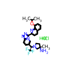 CC(C)Oc1cccc2ccc(-c3nnc4ccc([C@@H](N5CC[C@@](C)(N)C5)C(F)(F)F)cn34)nc12.Cl.Cl